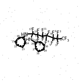 FC(F)(F)C(F)(F)C(F)(F)C(F)(F)C(F)(F)C(F)(F)C(F)(Nc1ccccc1)Nc1ccccc1